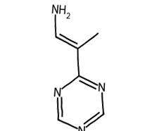 CC(=CN)c1ncncn1